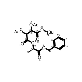 CC(=O)OC(C(=O)O[C@H](C)C(=O)OCc1ccccc1)[C@@H](OC(C)=O)C(=O)OC(C)(C)C